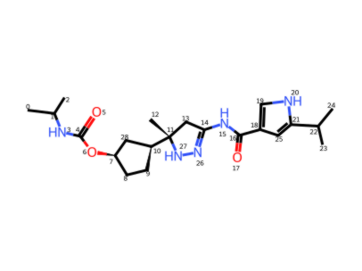 CC(C)NC(=O)O[C@@H]1CC[C@H]([C@]2(C)CC(NC(=O)c3c[nH]c(C(C)C)c3)=NN2)C1